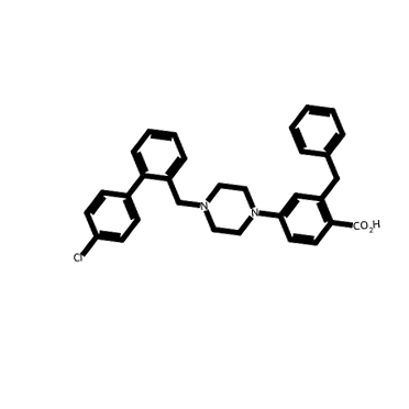 O=C(O)c1ccc(N2CCN(Cc3ccccc3-c3ccc(Cl)cc3)CC2)cc1Cc1ccccc1